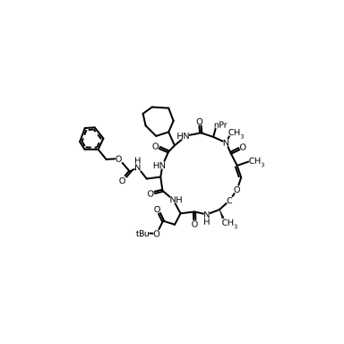 CCCC1C(=O)NC(C2CCCCCC2)C(=O)NC(CNC(=O)OCc2ccccc2)C(=O)NC(CC(=O)OC(C)(C)C)C(=O)N[C@H](C)CO/C=C(/C)C(=O)N1C